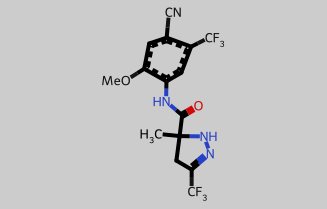 COc1cc(C#N)c(C(F)(F)F)cc1NC(=O)C1(C)CC(C(F)(F)F)=NN1